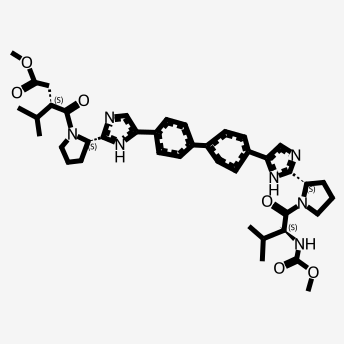 COC(=O)C[C@H](C(=O)N1CCC[C@H]1c1ncc(-c2ccc(-c3ccc(-c4cnc([C@@H]5CCCN5C(=O)[C@@H](NC(=O)OC)C(C)C)[nH]4)cc3)cc2)[nH]1)C(C)C